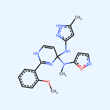 COc1ccccc1C1=NC(Nc2cc(C)[nH]n2)(N(C)c2ccno2)C=CN1